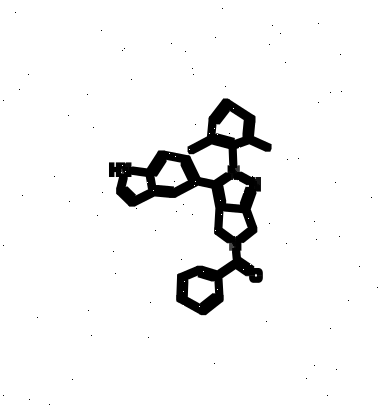 Cc1cccc(C)c1-n1nc2c(c1-c1ccc3[nH]ccc3c1)CN(C(=O)c1ccccc1)C2